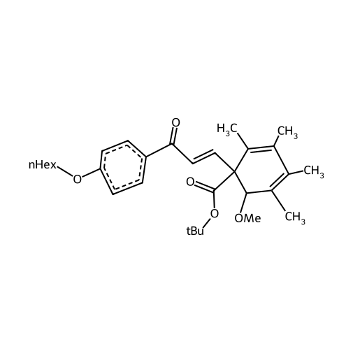 CCCCCCOc1ccc(C(=O)C=CC2(C(=O)OC(C)(C)C)C(C)=C(C)C(C)=C(C)C2OC)cc1